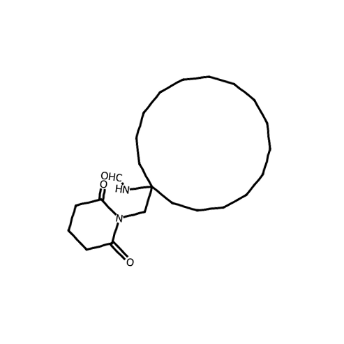 O=CNC1(CN2C(=O)CCCC2=O)CCCCCCCCCCCCCCC1